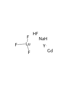 F.[F][Lu]([F])[F].[Gd].[NaH].[Y]